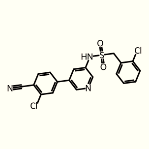 N#Cc1ccc(-c2cncc(NS(=O)(=O)Cc3ccccc3Cl)c2)cc1Cl